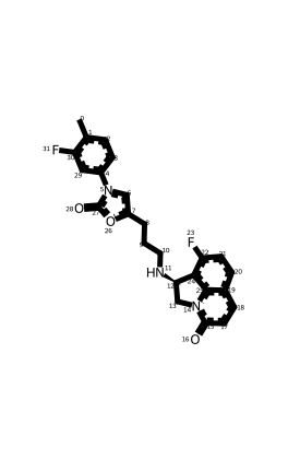 Cc1ccc(-n2cc(CCCN[C@@H]3Cn4c(=O)ccc5ccc(F)c3c54)oc2=O)cc1F